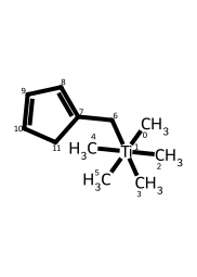 [CH3][Ti]([CH3])([CH3])([CH3])([CH3])[CH2]C1=CC=CC1